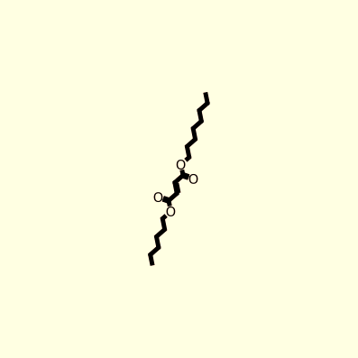 CCCCCCCCOC(=O)C=CC(=O)OCCCCCC